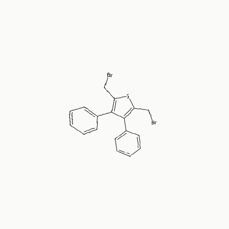 BrCc1sc(CBr)c(-c2ccccc2)c1-c1ccccc1